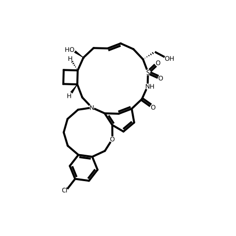 O=C1NS(=O)(=O)[C@@H](CO)C/C=C/C[C@H](O)[C@@H]2CC[C@H]2CN2CCCCc3cc(Cl)ccc3COc3ccc1cc32